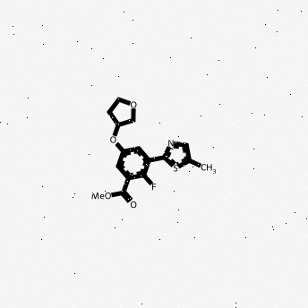 COC(=O)c1cc(OC2CCOC2)cc(-c2ncc(C)s2)c1F